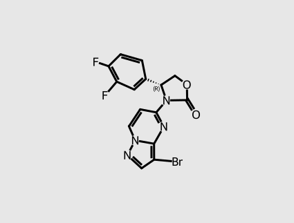 O=C1OC[C@@H](c2ccc(F)c(F)c2)N1c1ccn2ncc(Br)c2n1